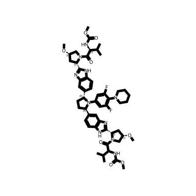 COC(=O)NC(C(=O)N1C[C@@H](OC)C[C@H]1c1nc2cc([C@H]3CC[C@H](c4ccc5[nH]c([C@@H]6C[C@H](OC)CN6C(=O)[C@@H](NC(=O)OC)C(C)C)nc5c4)N3c3cc(F)c(N4CCCCC4)c(F)c3)ccc2[nH]1)C(C)C